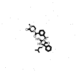 CC(C)CC[C@]1(c2ccccc2)NC(=N)N([C@H](C)c2cccc(C(=O)N3CCN(C)C(=O)C3)c2)C1=O